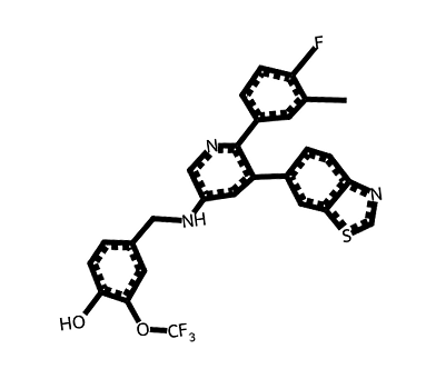 Cc1cc(-c2ncc(NCc3ccc(O)c(OC(F)(F)F)c3)cc2-c2ccc3ncsc3c2)ccc1F